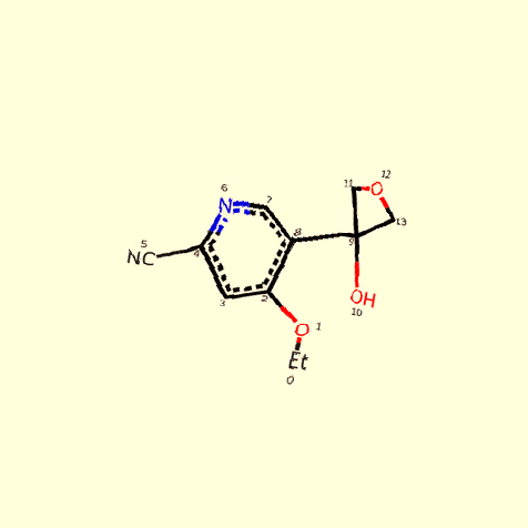 CCOc1cc(C#N)ncc1C1(O)COC1